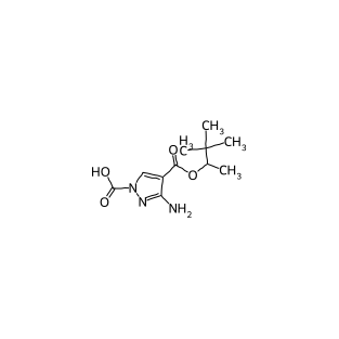 CC(OC(=O)c1cn(C(=O)O)nc1N)C(C)(C)C